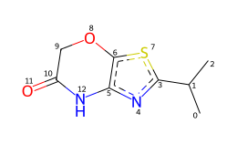 CC(C)c1nc2c(s1)OCC(=O)N2